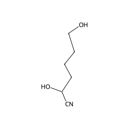 N#CC(O)CCCCO